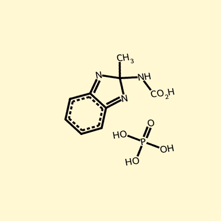 CC1(NC(=O)O)N=c2ccccc2=N1.O=P(O)(O)O